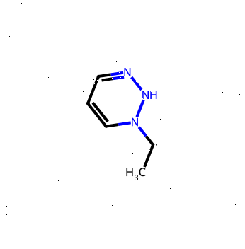 C[CH]N1C=CC=NN1